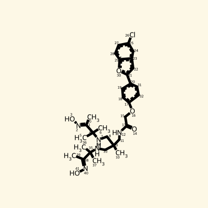 C/C(=N\O)C(C)(C)NCC(C)(CNC(=O)COc1ccc(-c2cc3cc(Cl)ccc3o2)cc1)CNC(C)(C)/C(C)=N/O